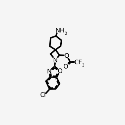 NC1CCC2(CC1)CN(c1nc3cc(Cl)ccc3o1)C2OC(=O)C(F)(F)F